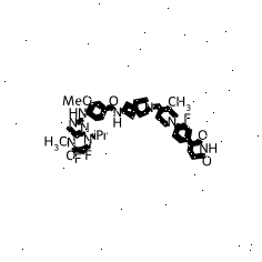 COc1cc(C(=O)NC2CC3(CCN(CC4CCN(c5ccc(C6CCC(=O)NC6=O)cc5F)CC4C)CC3)C2)ccc1Nc1ncc2c(n1)N(C(C)C)CC(F)(F)C(=O)N2C